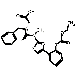 CCOC(=O)Nc1ccccc1-c1csc(N(C)C(=O)[C@@H](CC(=O)O)Cc2ccccc2)n1